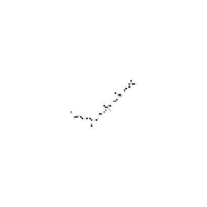 CC(=O)CC/C=C(\C)CC/C=C(\C)CCCC(C)CCC=C(C)C